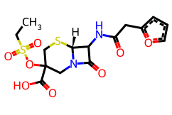 CCS(=O)(=O)OC1(C(=O)O)CS[C@@H]2C(NC(=O)Cc3ccco3)C(=O)N2C1